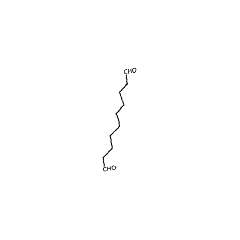 O=[C]CCCCCCCCC=O